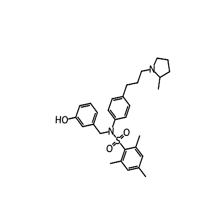 Cc1cc(C)c(S(=O)(=O)N(Cc2cccc(O)c2)c2ccc(CCCN3CCCC3C)cc2)c(C)c1